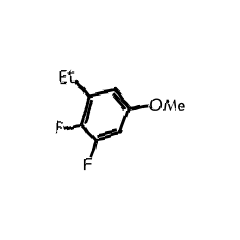 CCc1cc(OC)cc(F)c1F